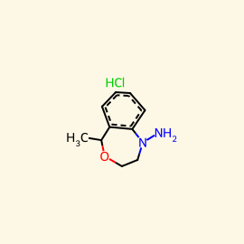 CC1OCCN(N)c2ccccc21.Cl